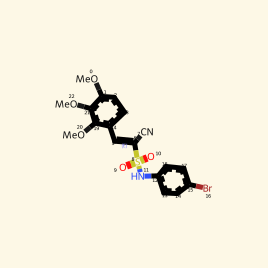 COc1ccc(/C=C(\C#N)S(=O)(=O)Nc2ccc(Br)cc2)c(OC)c1OC